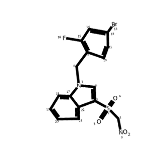 O=[N+]([O-])CS(=O)(=O)c1cn(Cc2ccc(Br)cc2F)c2ccccc12